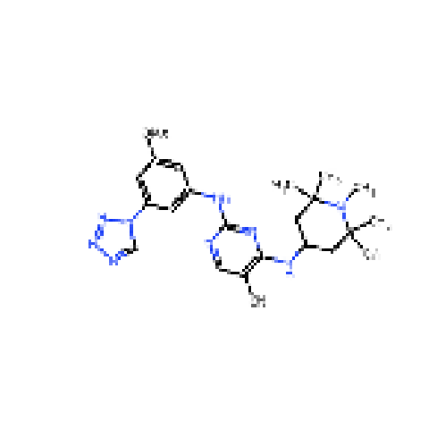 COc1cc(Nc2ncc(C#N)c(NC3CC(C)(C)N(C)C(C)(C)C3)n2)cc(-n2cnnn2)c1